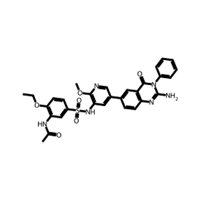 CCOc1ccc(S(=O)(=O)Nc2cc(-c3ccc4nc(N)n(-c5ccccc5)c(=O)c4c3)cnc2OC)cc1NC(C)=O